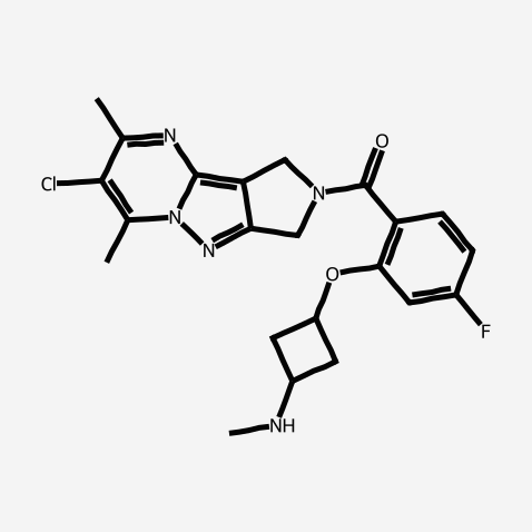 CNC1CC(Oc2cc(F)ccc2C(=O)N2Cc3nn4c(C)c(Cl)c(C)nc4c3C2)C1